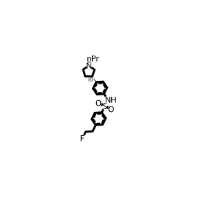 CCCN1CC[C@@H](c2ccc(NS(=O)(=O)c3ccc(CCF)cc3)cc2)C1